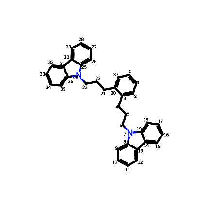 c1ccc(CCCn2c3ccccc3c3ccccc32)c(CCCn2c3ccccc3c3ccccc32)c1